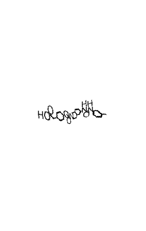 Cc1cccc(NC(=O)Nc2ccc3c(c2)CCN(C(=O)O[C@H]2CC[C@H](CC(=O)O)CC2)C3)c1